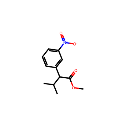 COC(=O)C(c1cccc([N+](=O)[O-])c1)C(C)C